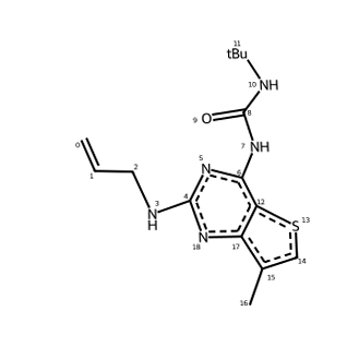 C=CCNc1nc(NC(=O)NC(C)(C)C)c2scc(C)c2n1